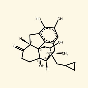 C[N@+]1(CC2CC2)C(O)C[C@]23c4c5cc(O)c(O)c4C[C@H]2C(=O)CC[C@@]3(O)[C@H]1C5